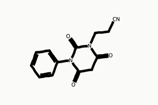 N#CCCN1C(=O)CC(=O)N(c2ccccc2)C1=O